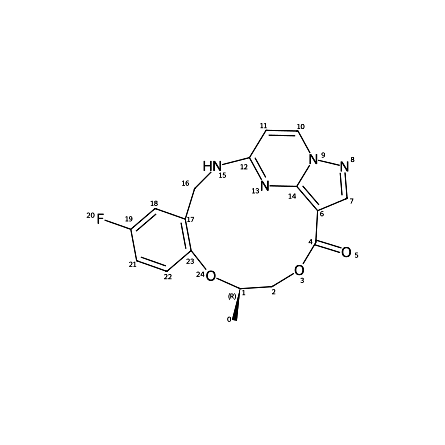 C[C@@H]1COC(=O)c2cnn3ccc(nc23)NCc2cc(F)ccc2O1